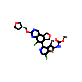 CC(C)(C)OC(=O)Nc1sc2c(F)cnc(-c3c4c(c5cnc(OC[C@@H]6CCOC6)nc5c3F)COC4)c2c1C#N